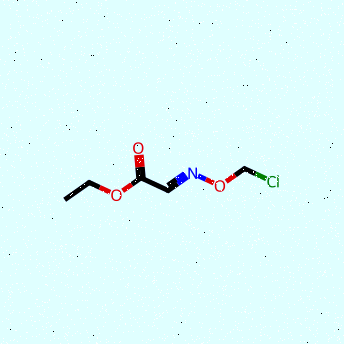 CCOC(=O)C=NOCCl